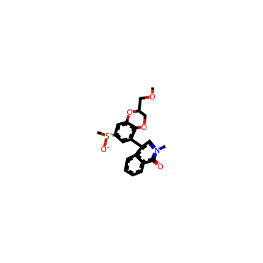 COCC1COc2c(cc([S+](C)[O-])cc2-c2cn(C)c(=O)c3ccccc23)O1